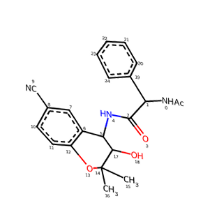 CC(=O)NC(C(=O)NC1c2cc(C#N)ccc2OC(C)(C)C1O)c1ccccc1